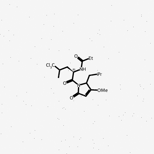 CCC(=O)N[C@H](CC(C)C(Cl)(Cl)Cl)C(=O)N1C(=O)C=C(OC)C1CC(C)C